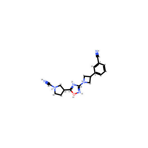 N#Cc1cccc(C2CN(c3noc(C4CCN(C#N)C4)n3)C2)c1